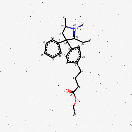 CCOC(=O)CCCc1ccc(C2(c3ccccc3)CC(C)[N+](C)=C2CC)cc1